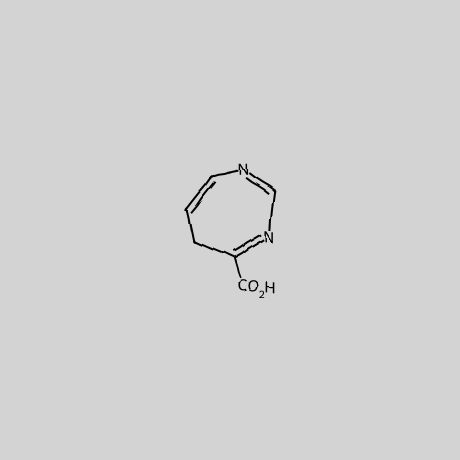 O=C(O)C1=NC=NC=CC1